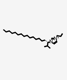 CCCCCCCCCCCCCCC[C@@H](C(C)C)n1cc[n+](CCC)c1